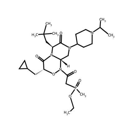 CCOP(C)(=O)CC(=O)N1O[C@H](CC2CC2)C(=O)N2[C@@H]1CN(C1CCN(C(C)C)CC1)C(=O)[C@@H]2CC(C)(C)C